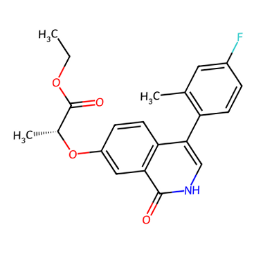 CCOC(=O)[C@@H](C)Oc1ccc2c(-c3ccc(F)cc3C)c[nH]c(=O)c2c1